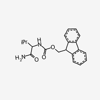 CC(C)C(NC(=O)OCC1c2ccccc2-c2ccccc21)C(N)=O